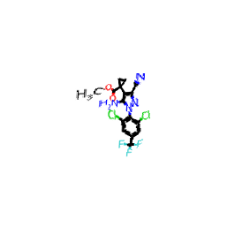 COC(=O)C1(c2c(C#N)nn(-c3c(Cl)cc(C(F)(F)F)cc3Cl)c2N)CC1